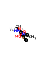 CC(C)C(=O)N[C@H]1CC[C@H](N(c2cc(C3=CCCCC3)sc2C(=O)O)C(=O)[C@H]2CC[C@H](C)CC2)CC1